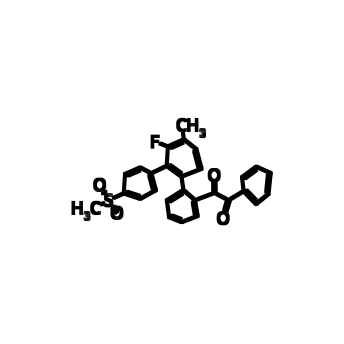 Cc1ccc(-c2ccccc2C(=O)C(=O)c2ccccc2)c(-c2ccc(S(C)(=O)=O)cc2)c1F